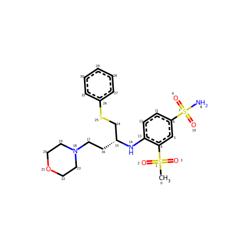 CS(=O)(=O)c1cc(S(N)(=O)=O)ccc1N[C@H](CCN1CCOCC1)CSc1ccccc1